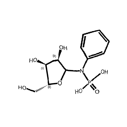 O=P(O)(O)N(c1ccccc1)C1O[C@H](CO)[C@@H](O)[C@H]1O